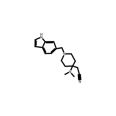 CN(C)C1(CC#N)CCN(Cc2ccc3cc[nH]c3c2)CC1